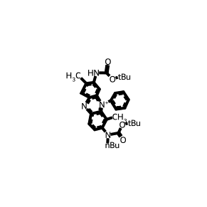 CCCCN(C(=O)OC(C)(C)C)c1ccc2nc3cc(C)c(NC(=O)OC(C)(C)C)cc3[n+](-c3ccccc3)c2c1C